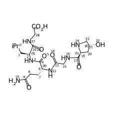 CC(C)C[C@H](NC(=O)[C@@H](CCC(N)=O)NC(=O)CNC(=O)[C@@H]1C[C@@H](O)CN1)C(=O)NCC(=O)O